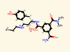 CCCN(CCC)C(=O)c1cc(C(N)=O)cc(C(=O)N[C@@H](Cc2ccc(O)cc2)[C@H](O)CNCCC(C)C)c1